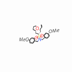 C=CCC[C@@H](C[C@H]1CCCO1)S(=O)(=O)N(Cc1ccc(OC)cc1)Cc1ccc(OC)cc1